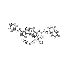 CCOC(O)c1c(CCCOc2cccc3ccccc23)c2cccc3c2n1CCCCOCc1nn(CCN2CCOCC2)c(C)c1-3